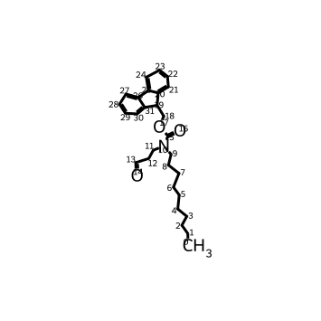 CCCCCCCCCCN(CCC=O)C(=O)OCC1c2ccccc2-c2ccccc21